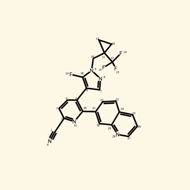 N#Cc1ccc(-c2cnn(CC3(C(F)(F)F)CC3)c2F)c(-c2ccc3cccnc3c2)n1